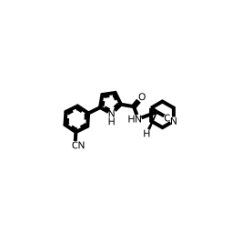 N#Cc1cccc(-c2ccc(C(=O)N[C@H]3CN4CCC3CC4)[nH]2)c1